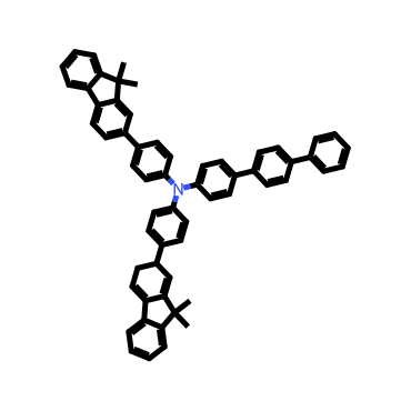 CC1(C)C2=CC(c3ccc(N(c4ccc(-c5ccc(-c6ccccc6)cc5)cc4)c4ccc(-c5ccc6c(c5)C(C)(C)c5ccccc5-6)cc4)cc3)CC=C2c2ccccc21